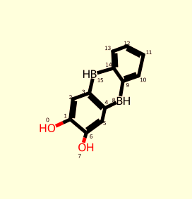 Oc1cc2c(cc1O)Bc1ccccc1B2